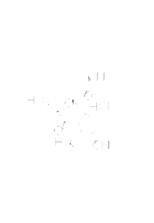 CCOC(=O)c1ccc(C)c(C)c1C(=O)OCC.Cl